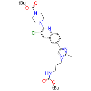 Cc1nc(-c2ccc3nc(N4CCN(C(=O)OC(C)(C)C)CC4)c(Cl)cc3c2)cn1CCCNC(=O)OC(C)(C)C